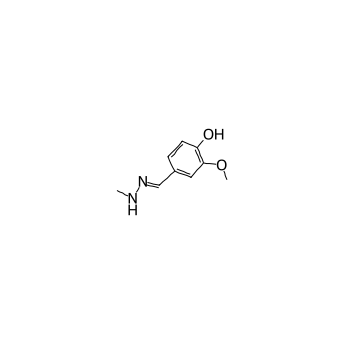 CNN=Cc1ccc(O)c(OC)c1